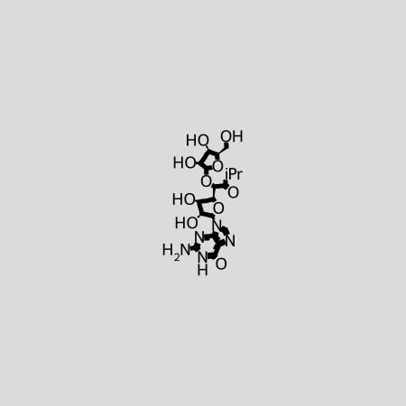 CC(C)C(=O)C(OC1O[C@H](CO)[C@@H](O)[C@@H]1O)[C@H]1O[C@@H](n2cnc3c(=O)[nH]c(N)nc32)[C@H](O)[C@@H]1O